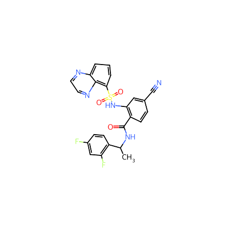 CC(NC(=O)c1ccc(C#N)cc1NS(=O)(=O)c1cccc2nccnc12)c1ccc(F)cc1F